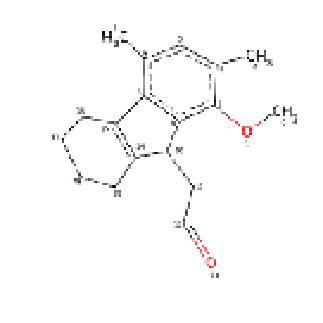 COc1c(C)cc(C)c2c1C(CC=O)C1=C2CCCC1